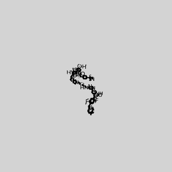 Cc1ncsc1-c1ccc([C@H](C)NC(=O)[C@@H]2C[C@@H](O)CN2C(=O)[C@@H](NC(=O)CN2CC[C@@]3(CCN(CCOCCNc4cc(N5CCC6(CC5)CN(c5cc(F)c(CN7CCC(C)(C)CC7)cc5F)CC(=O)N6)ncn4)C3)C2)C(C)(C)C)cc1